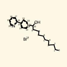 CCCCCCCCCCC(O)[n+]1ccc(-c2ccccn2)cc1.[Br-]